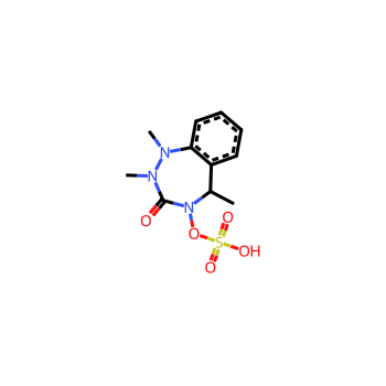 CC1c2ccccc2N(C)N(C)C(=O)N1OS(=O)(=O)O